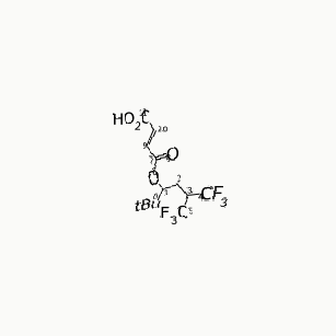 CC(C)(C)C(CC(C(F)(F)F)C(F)(F)F)OC(=O)/C=C/C(=O)O